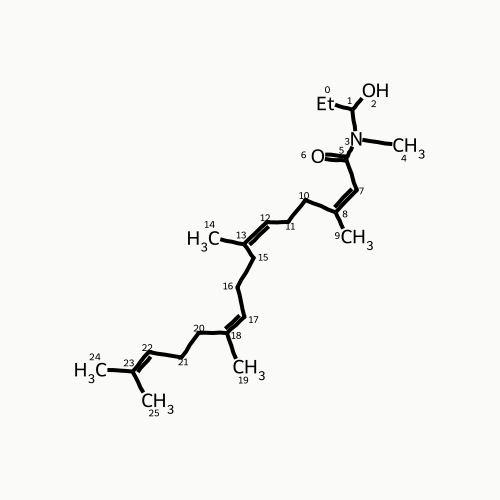 CCC(O)N(C)C(=O)C=C(C)CCC=C(C)CCC=C(C)CCC=C(C)C